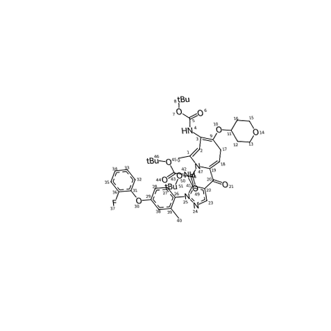 C/C1=C\C(NC(=O)OC(C)(C)C)=C(\OC2CCOCC2)C/C=C(/C(=O)c2cnn(-c3ccc(Oc4ccccc4F)cc3C)c2NC(=O)OC(C)(C)C)N1C(=O)OC(C)(C)C